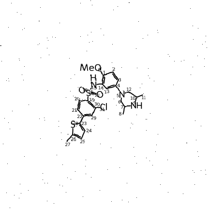 COc1ccc(N2CC(C)NC(C)C2)cc1NS(=O)(=O)c1ccc(-c2ccc(C)s2)cc1Cl